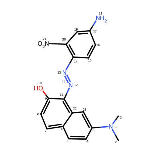 CN(C)c1ccc2ccc(O)c(/N=N/c3ccc(N)cc3[N+](=O)[O-])c2c1